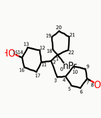 CCCC1(C(CC2CCC(O)CC2)C2CCC(O)CC2)CCCCC1